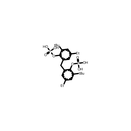 CCc1cc(Cc2cc(CC)cc(C(C)(C)C)c2OP(=O)(O)O)c(OP(=O)(O)O)c(C(C)(C)C)c1